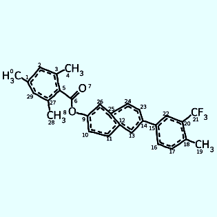 Cc1cc(C)c(C(=O)Oc2ccc3cc(-c4ccc(C)c(C(F)(F)F)c4)ccc3c2)c(C)c1